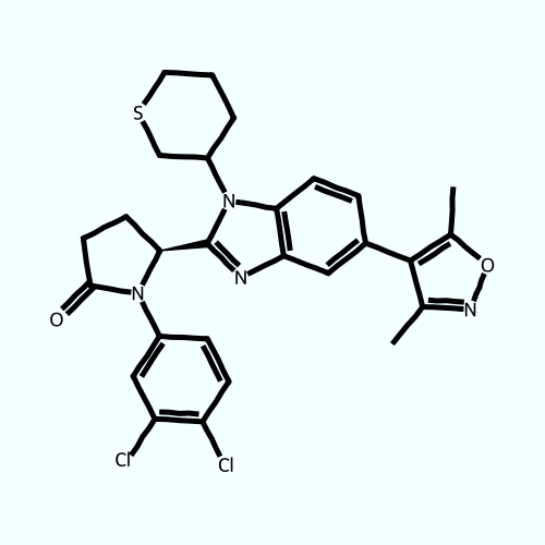 Cc1noc(C)c1-c1ccc2c(c1)nc([C@@H]1CCC(=O)N1c1ccc(Cl)c(Cl)c1)n2C1CCCSC1